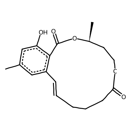 Cc1cc(O)c2c(c1)/C=C/CCCC(=O)CCC[C@H](C)OC2=O